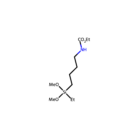 CCOC(=O)NCCCC[Si](CC)(OC)OC